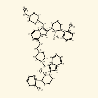 Cc1cccnc1[C@@H]1CCC[C@H](c2nc3ccccn3c2CN2CCN(CCc3cccn4c(CN5CCN(CC(F)(F)F)CC5)c([C@H]5CCC[C@@H](c6ncccc6C)N5C)nc34)CC2)N1C